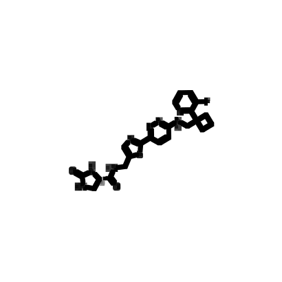 O=C1NC[C@@H](C(=O)NCc2cnc(-c3ccc(NCC4(c5ncccc5F)CCC4)nn3)s2)N1